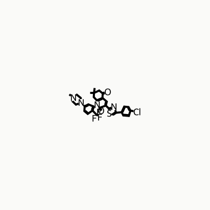 CN1CCN(c2ccc(C(F)(F)F)c(-n3c4c(cc(-c5nc(-c6ccc(Cl)cc6)cs5)c3=O)C(=O)CC(C)(C)C4)c2)CC1